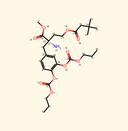 CCCOC(=O)Oc1ccc(C[C@](N)(CCOC(=O)CC(C)(C)C)C(=O)OC)cc1OC(=O)OCCC